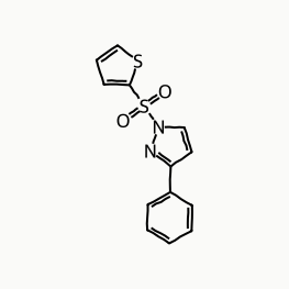 O=S(=O)(c1cccs1)n1ccc(-c2ccccc2)n1